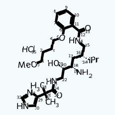 COCCCCOc1ccccc1C(=O)NC[C@@H](C[C@H](N)[C@@H](O)CNC(=O)C(C)(C)c1c[nH]cn1)C(C)C.Cl